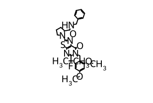 COc1ccc(Cn2c(C(C)(C)F)nc3sc(N4CCCC4C(=O)NCc4ccccc4)nc3c2=O)c(OC)c1